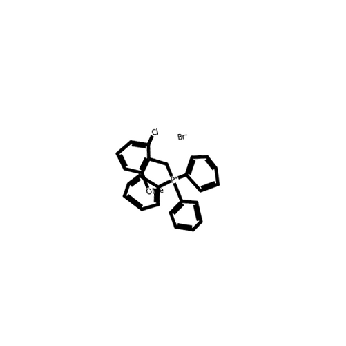 COc1cccc(Cl)c1C[P+](c1ccccc1)(c1ccccc1)c1ccccc1.[Br-]